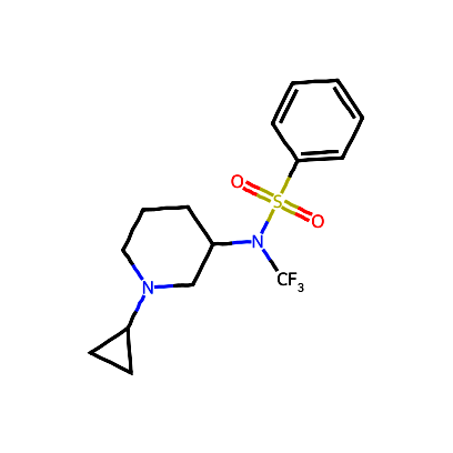 O=S(=O)(c1ccccc1)N(C1CCCN(C2CC2)C1)C(F)(F)F